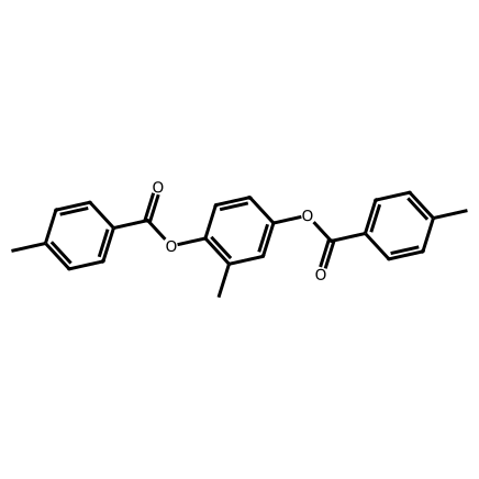 Cc1ccc(C(=O)Oc2ccc(OC(=O)c3ccc(C)cc3)c(C)c2)cc1